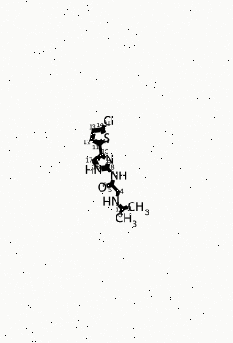 CC(C)NCC(=O)Nc1nc(-c2ccc(Cl)s2)c[nH]1